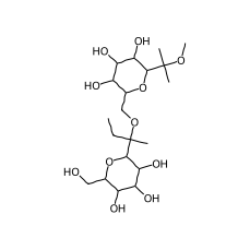 CCC(C)(OCC1OC(C(C)(C)OC)C(O)C(O)C1O)C1OC(CO)C(O)C(O)C1O